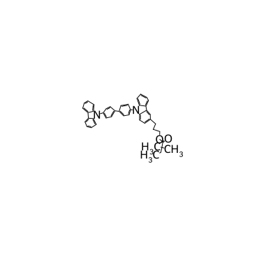 CCC(C)(C)C(=O)OCCCc1ccc2c(c1)c1ccccc1n2-c1ccc(-c2ccc(-n3c4ccccc4c4ccccc43)cc2)cc1